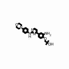 CC(C)(O)COc1ccc(-c2ccnc(Nc3ccc(N4CCOCC4)cc3)n2)cc1N